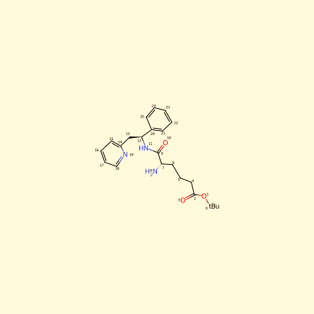 CC(C)(C)OC(=O)CCC[C@H](N)C(=O)N[C@@H](Cc1ccccn1)c1ccccc1